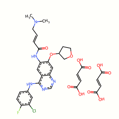 CN(C)CC=CC(=O)Nc1cc2c(Nc3ccc(F)c(Cl)c3)ncnc2cc1OC1CCOC1.O=C(O)C=CC(=O)O.O=C(O)C=CC(=O)O